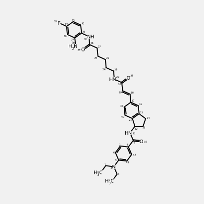 CCN(CC)c1ccc(C(=O)NC2CCc3cc(/C=C/C(=O)NCCCCCC(=O)Nc4ccc(F)cc4N)ccc32)cc1